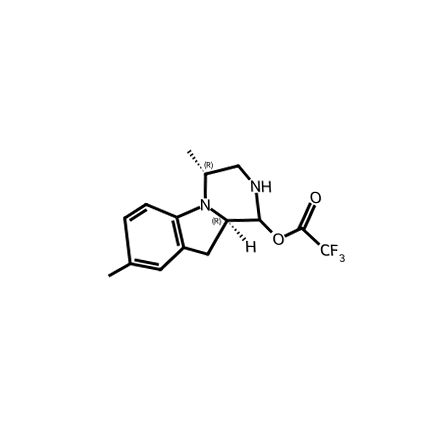 Cc1ccc2c(c1)C[C@@H]1C(OC(=O)C(F)(F)F)NC[C@@H](C)N21